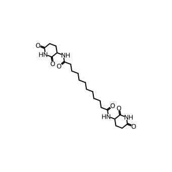 O=C1CCC(NC(=O)CCCCCCCCCCC(=O)NC2CCC(=O)NC2=O)C(=O)N1